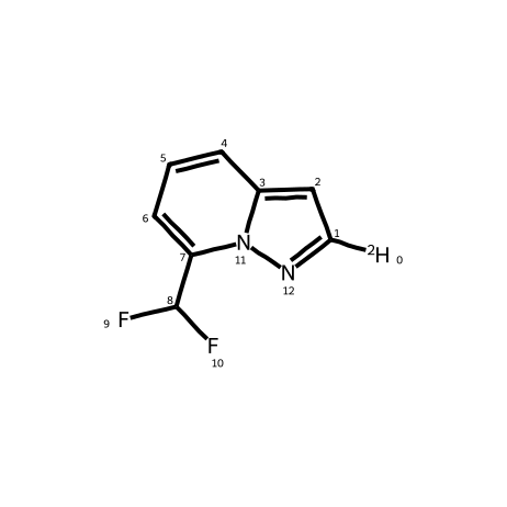 [2H]c1cc2cccc(C(F)F)n2n1